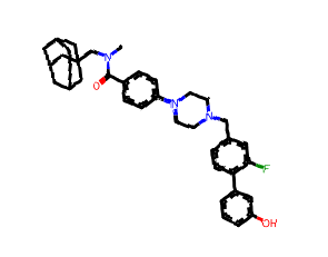 CN(CC12CC3CC(CC(C3)C1)C2)C(=O)c1ccc(N2CCN(Cc3ccc(-c4cccc(O)c4)c(F)c3)CC2)cc1